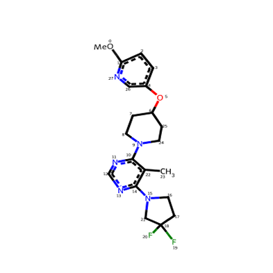 COc1ccc(OC2CCN(c3ncnc(N4CCC(F)(F)C4)c3C)CC2)cn1